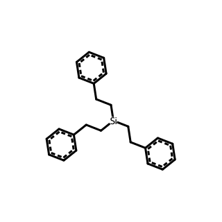 c1ccc(CC[Si](CCc2ccccc2)CCc2ccccc2)cc1